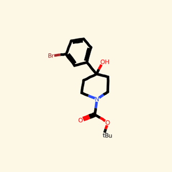 CC(C)(C)OC(=O)N1CCC(O)(c2cccc(Br)c2)CC1